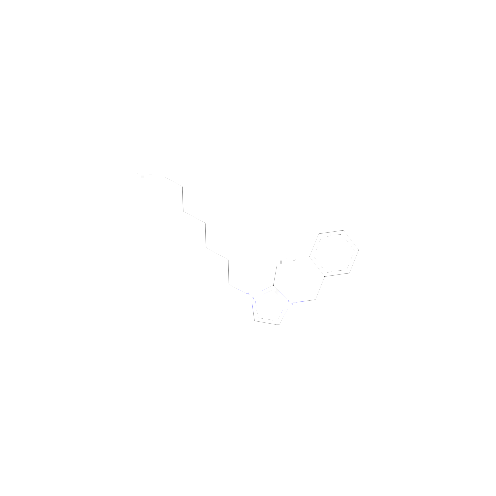 CCCCCCCCCCCCCCCC[n+]1ccn(Cc2ccccc2)c1CCCCC